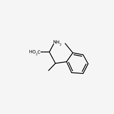 Cc1ccccc1C(C)C(N)C(=O)O